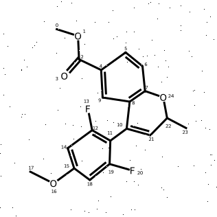 COC(=O)c1ccc2c(c1)C(c1c(F)cc(OC)cc1F)=CC(C)O2